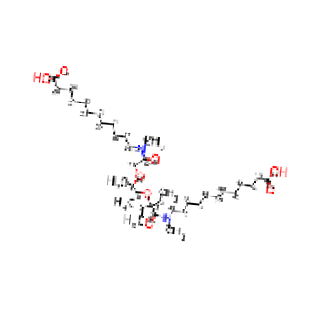 CCC(CC)(O[C@H](C)[C@@H](C)OCC(=O)N(C)CCCCCCCCCCCC(=O)O)C(=O)N(C)CCCCCCCCCCCC(=O)O